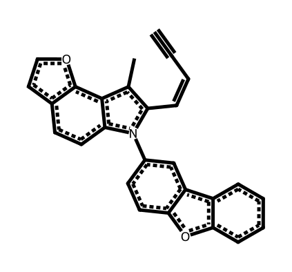 C#C/C=C\c1c(C)c2c3occc3ccc2n1-c1ccc2oc3ccccc3c2c1